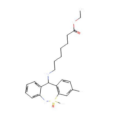 CCOC(=O)CCCCCCNC1c2ccccc2N[SH](C)(=O)c2cc(C)ccc21